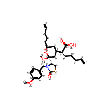 C=CCCCC1CC([C@@H](CCCC=C)C(=O)O)CC(OC)([C@@H]2CSC(=O)N2Cc2ccc(OC)cc2)O1